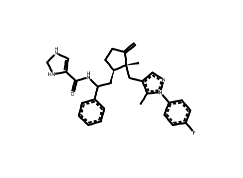 C=C1CC[C@H](CC(NC(=O)C2=CNCN2)c2ccccc2)[C@@]1(C)Cc1cnn(-c2ccc(F)cc2)c1C